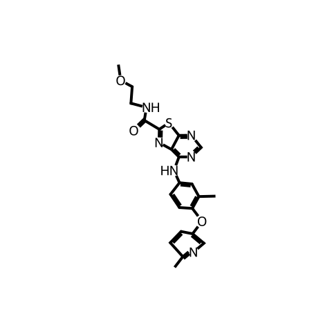 COCCNC(=O)c1nc2c(Nc3ccc(Oc4ccc(C)nc4)c(C)c3)ncnc2s1